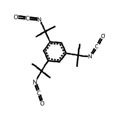 CC(C)(N=C=O)c1cc(C(C)(C)N=C=O)cc(C(C)(C)N=C=O)c1